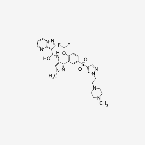 CN1CCN(CCn2cc(S(=O)(=O)c3ccc(OC(F)F)c(-c4nn(C)cc4NC(O)c4cnn5cccnc45)c3)cn2)CC1